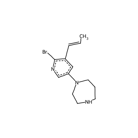 CC=Cc1cc(N2CCCNCC2)cnc1Br